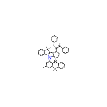 Cc1cc2c3c(c1)C(C)(C)c1ccccc1B3c1ccc([C@H](Cc3ccccc3)[C@@H](C)c3ccccc3)c3c4c(n-2c13)-c1ccccc1C4(C)C